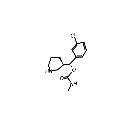 CNC(=O)O[C@@H](c1cccc(Cl)c1)[C@@H]1CCCNC1